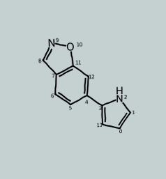 c1c[nH]c(-c2ccc3cnoc3c2)c1